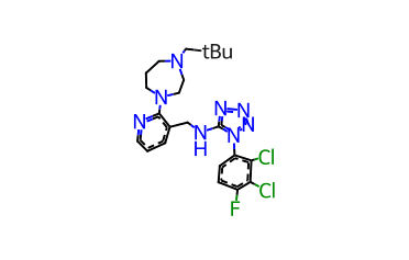 CC(C)(C)CN1CCCN(c2ncccc2CNc2nnnn2-c2ccc(F)c(Cl)c2Cl)CC1